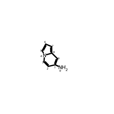 Nc1ccn2cccc2c1